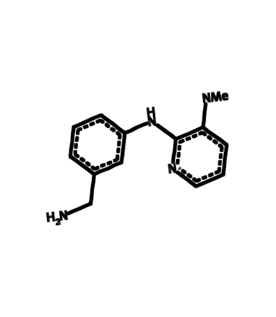 CNc1cccnc1Nc1cccc(CN)c1